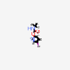 CC(C)(C)NC(=O)Oc1ccc(I)cn1